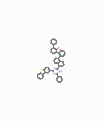 c1ccc(-c2cccc3c2oc2cccc(-c4cccc5c(C6=NC(c7ccc8sc9ccccc9c8c7)=NC(c7ccccc7)N6)cccc45)c23)cc1